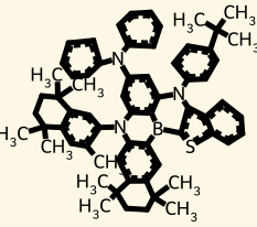 Cc1cc2c(cc1N1c3cc4c(cc3B3c5sc6ccccc6c5N(c5ccc(C(C)(C)C)cc5)c5cc(N(c6ccccc6)c6ccccc6)cc1c53)C(C)(C)CCC4(C)C)C(C)(C)CCC2(C)C